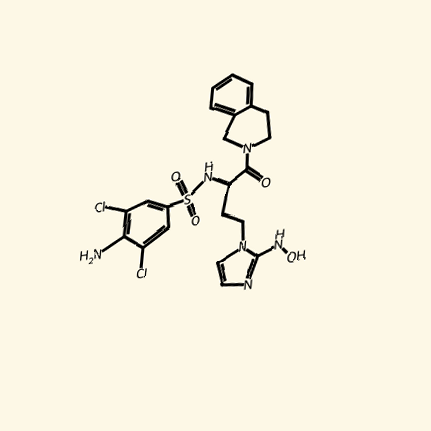 Nc1c(Cl)cc(S(=O)(=O)NC(CCn2ccnc2NO)C(=O)N2CCc3ccccc3C2)cc1Cl